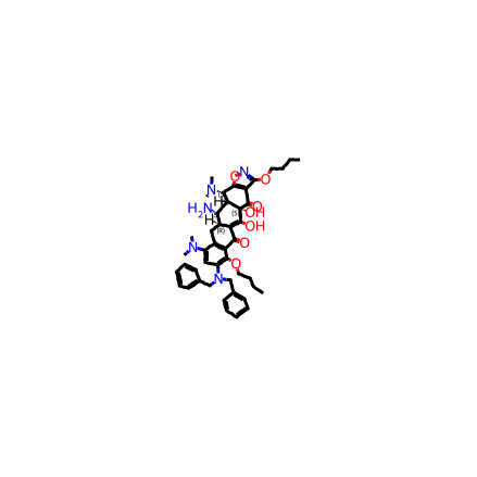 CCCCOc1noc2c1C(=O)[C@@]1(O)C(O)=C3C(=O)c4c(c(N(C)C)cc(N(Cc5ccccc5)Cc5ccccc5)c4OCCCC)C[C@H]3[C@H](N)[C@H]1[C@@H]2N(C)C